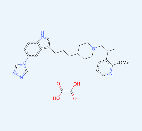 COc1ncccc1C(C)CN1CCC(CCCc2c[nH]c3ccc(-n4cnnc4)cc23)CC1.O=C(O)C(=O)O